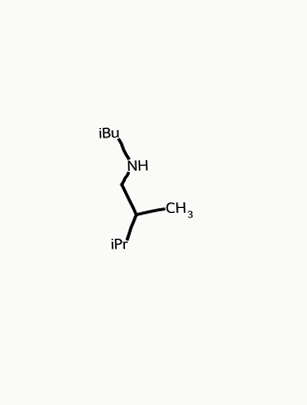 CCC(C)NCC(C)C(C)C